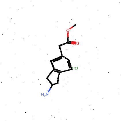 COC(=O)Cc1ccc2c(c1)CC(N)C2.Cl